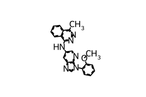 COc1ccccc1-n1cnc2cc(Nc3nnc(C)c4ccccc34)cnc21